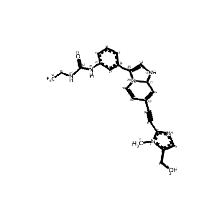 Cn1c(CO)cnc1C#CC1=CC2NC=C(c3cccc(NC(=O)NCC(F)(F)F)c3)N2C=C1